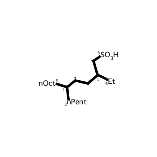 CCCCCCCCC(CCCCC)CCC(CC)CS(=O)(=O)O